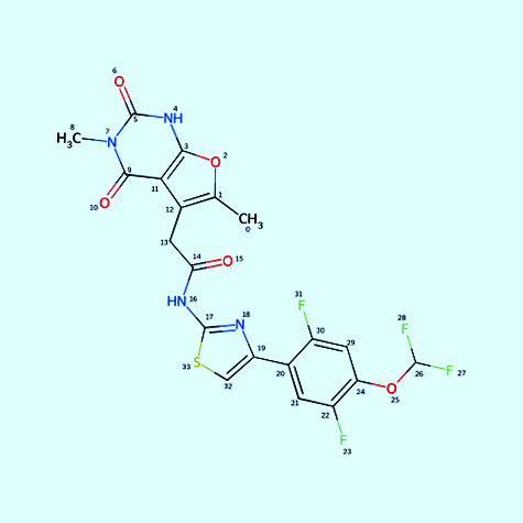 Cc1oc2[nH]c(=O)n(C)c(=O)c2c1CC(=O)Nc1nc(-c2cc(F)c(OC(F)F)cc2F)cs1